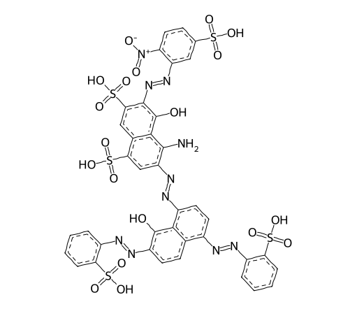 Nc1c(N=Nc2ccc(N=Nc3ccccc3S(=O)(=O)O)c3ccc(N=Nc4ccccc4S(=O)(=O)O)c(O)c23)cc(S(=O)(=O)O)c2cc(S(=O)(=O)O)c(N=Nc3cc(S(=O)(=O)O)ccc3[N+](=O)[O-])c(O)c12